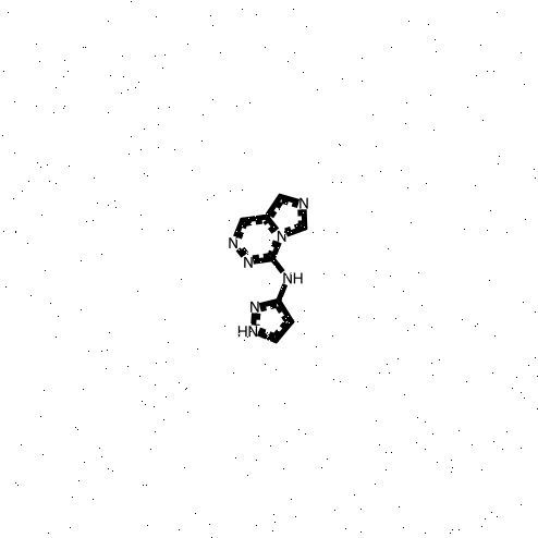 c1cc(Nc2nncc3cncn23)n[nH]1